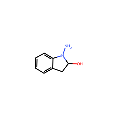 NN1c2ccccc2CC1O